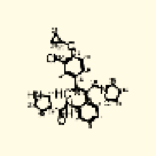 O=C(Nc1ccccc1[C@H](CN1CCCC1)[C@@H](O)c1ccc(OC2CC2)c(Cl)c1)[C@@H]1CCNC1